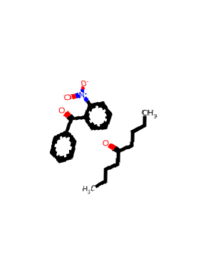 CCCCC(=O)CCCC.O=C(c1ccccc1)c1ccccc1[N+](=O)[O-]